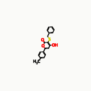 Cc1ccc(-c2cc(O)c(SCc3ccccc3)c(=O)o2)cc1